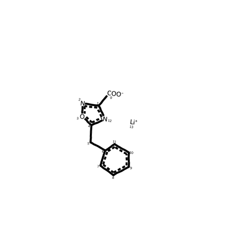 O=C([O-])c1noc(Cc2ccccc2)n1.[Li+]